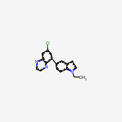 CCn1ccc2cc(-c3cc(Cl)cc4nccnc34)ccc21